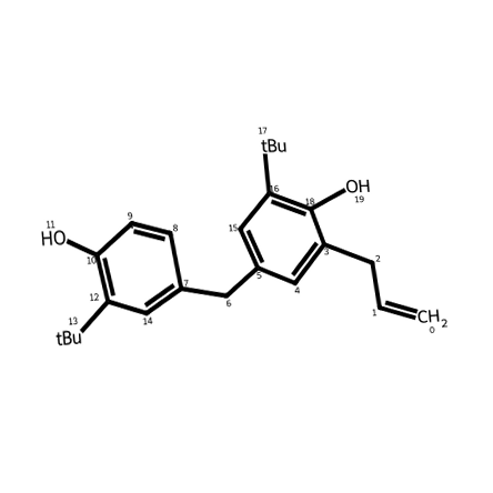 C=CCc1cc(Cc2c[c]c(O)c(C(C)(C)C)c2)cc(C(C)(C)C)c1O